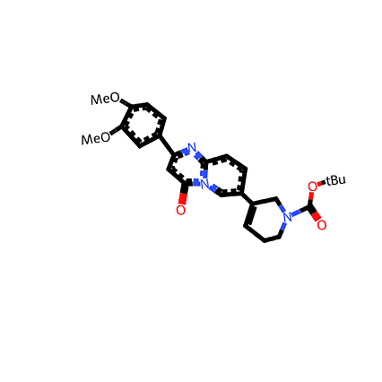 COc1ccc(-c2cc(=O)n3cc(C4=CCCN(C(=O)OC(C)(C)C)C4)ccc3n2)cc1OC